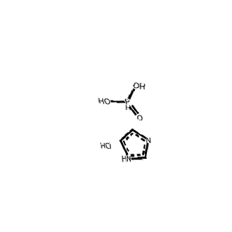 Cl.O=[PH](O)O.c1c[nH]cn1